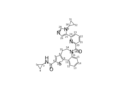 O=C(NC1CC1)c1cc2c(s1)-c1ccccc1N(C(=O)c1cccc(-c3cncn3C3CC3)n1)CC2